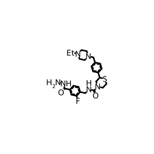 CCN1CCN(Cc2ccc(C3CN(C(=O)NCc4ccc(C(=O)NN)cc4F)CCS3)cc2)CC1